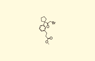 COC(=O)CCc1cccc(C2(C(=O)CBr)CCCC2)c1